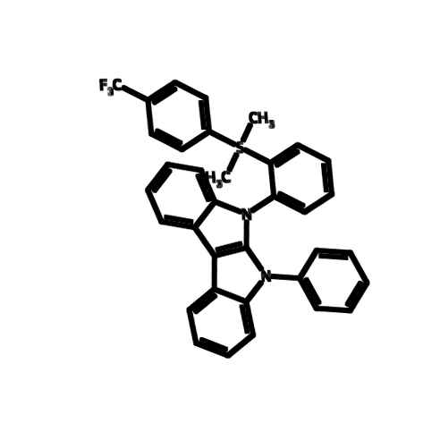 CS(C)(c1ccc(C(F)(F)F)cc1)c1ccccc1-n1c2ccccc2c2c3ccccc3n(-c3ccccc3)c21